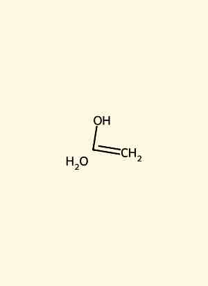 C=CO.O